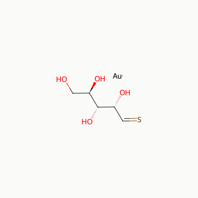 OC[C@@H](O)[C@@H](O)[C@H](O)C=S.[Au]